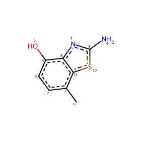 Cc1ccc(O)c2nc(N)sc12